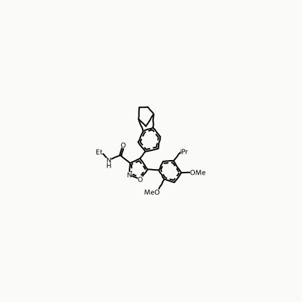 CCNC(=O)c1noc(-c2cc(C(C)C)c(OC)cc2OC)c1-c1ccc2c(c1)C1CCC2C1